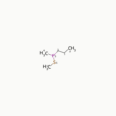 CCCP(C)SC